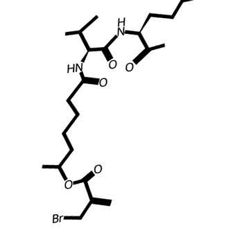 C=C(CBr)C(=O)OC(C)CCCCC(=O)N[C@H](C(=O)N[C@@H](CCCC)C(C)=O)C(C)C